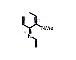 C=C/N=C(C=C)\C(=C/C)NC